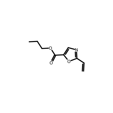 C=Cc1ncc(C(=O)OCCC)o1